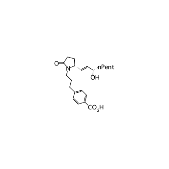 CCCCC[C@H](O)/C=C/[C@H]1CCC(=O)N1CCCc1ccc(C(=O)O)cc1